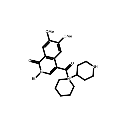 CCn1cc(C(=O)[N+]2(C3CCNCC3)CCCCC2)c2cc(OC)c(OC)cc2c1=O